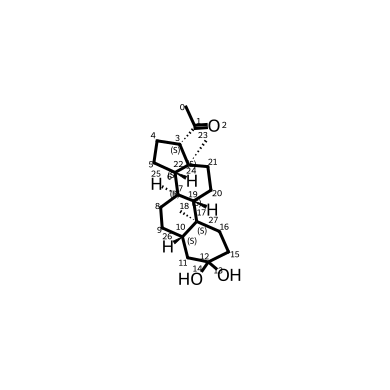 CC(=O)[C@H]1CC[C@H]2[C@@H]3CC[C@H]4CC(O)(O)CC[C@]4(C)[C@H]3CC[C@]12C